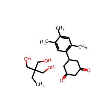 CCC(CO)(CO)CO.Cc1cc(C)c(C2CC(=O)CC(=O)C2)cc1C